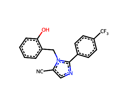 N#Cc1cnc(-c2ccc(C(F)(F)F)cc2)n1Cc1ccccc1O